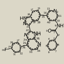 O=C(Cc1ccccc1)Nc1cncc(-c2ccc3[nH]nc(-c4nc5c(-c6ccc(F)cc6)ccnc5[nH]4)c3c2)c1